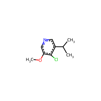 COc1cncc(C(C)C)c1Cl